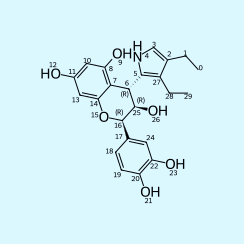 CCc1c[nH]c([C@H]2c3c(O)cc(O)cc3O[C@H](c3ccc(O)c(O)c3)[C@@H]2O)c1CC